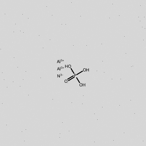 O=P(O)(O)O.[Al+3].[Al+3].[N-3]